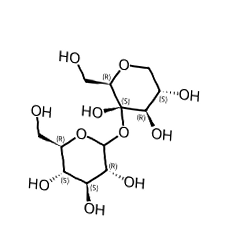 OC[C@H]1OC(O[C@@]2(O)[C@H](O)[C@@H](O)CO[C@@H]2CO)[C@H](O)[C@@H](O)[C@@H]1O